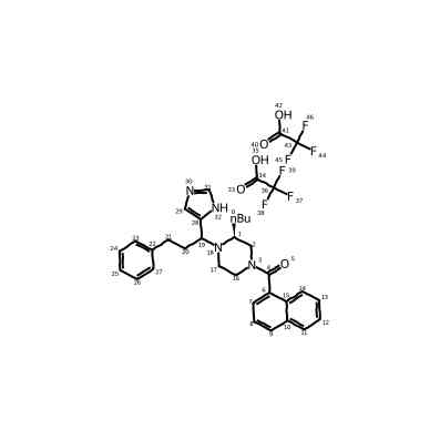 CCCC[C@H]1CN(C(=O)c2cccc3ccccc23)CCN1C(CCc1ccccc1)c1cnc[nH]1.O=C(O)C(F)(F)F.O=C(O)C(F)(F)F